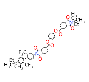 CCC(C)(C)c1ccc(-c2ccc(N3C(=O)C4CCC(C(=O)Oc5ccc(OC(=O)C6CCC7C(=O)N(C(C)(C)CC)C(=O)C7C6)cc5)CC4C3=O)cc2C(F)(F)F)c(C(F)(F)F)c1